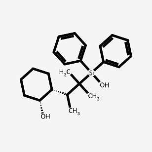 CC([C@H]1CCCC[C@H]1O)C(C)(C)[Si](O)(c1ccccc1)c1ccccc1